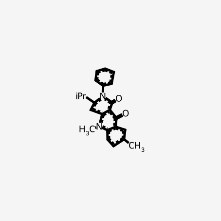 Cc1ccc2c(c1)c(=O)c1c(=O)n(-c3ccccc3)c(C(C)C)cc1n2C